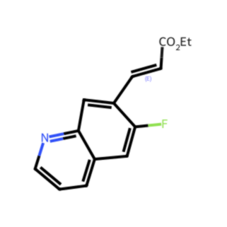 CCOC(=O)/C=C/c1cc2ncccc2cc1F